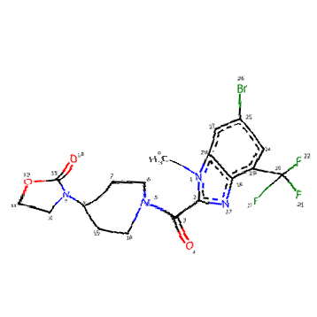 Cn1c(C(=O)N2CCC(N3CCOC3=O)CC2)nc2c(C(F)(F)F)cc(Br)cc21